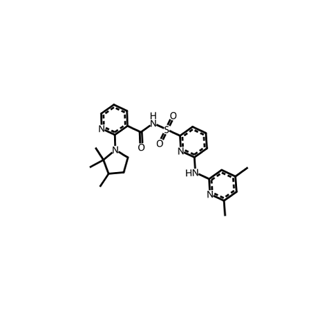 Cc1cc(C)nc(Nc2cccc(S(=O)(=O)NC(=O)c3cccnc3N3CCC(C)C3(C)C)n2)c1